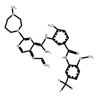 C=C/N=C1/C=NC(N2CCCN(C)CC2)=N/C1=C(/N)Nc1cc(C(=O)Nc2cc(C(F)(F)F)ccc2OC)ccc1C